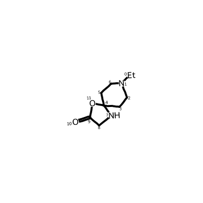 CCN1CCC2(CC1)NCC(=O)O2